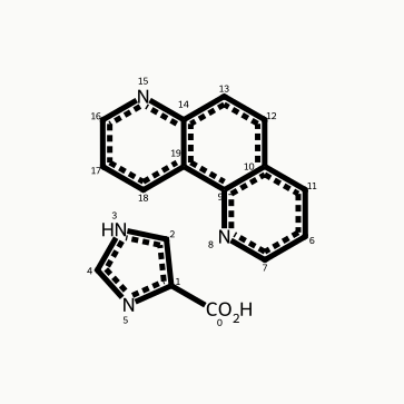 O=C(O)c1c[nH]cn1.c1cnc2c(c1)ccc1ncccc12